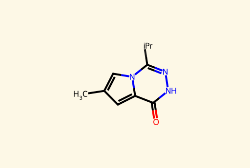 Cc1cc2c(=O)[nH]nc(C(C)C)n2c1